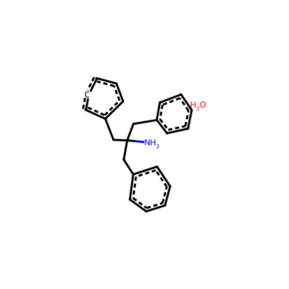 NC(Cc1ccccc1)(Cc1ccccc1)Cc1ccccc1.O